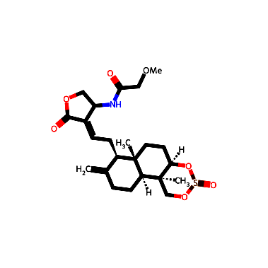 C=C1CC[C@@H]2[C@]3(C)COS(=O)O[C@@H]3CC[C@@]2(C)[C@@H]1C/C=C1/C(=O)OCC1NC(=O)COC